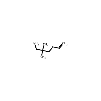 C=COCC(C)(C)CN